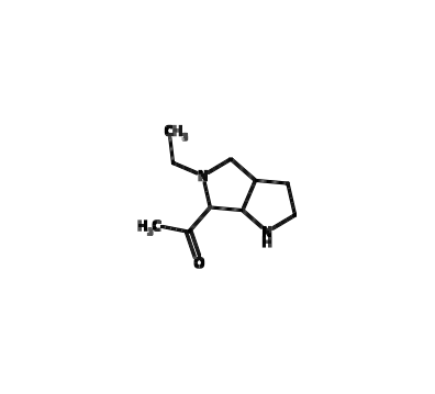 CCN1CC2CCNC2C1C(C)=O